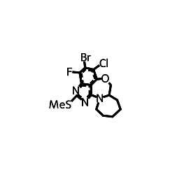 CSc1nc2c3c(c(Cl)c(Br)c(F)c3n1)OCC1CCCCCN21